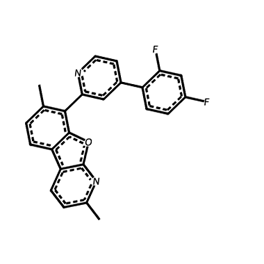 Cc1ccc2c(n1)oc1c(-c3cc(-c4ccc(F)cc4F)ccn3)c(C)ccc12